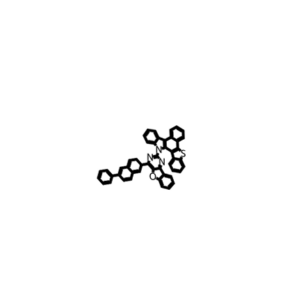 C1=c2ccc(-c3ccccc3)cc2=CCC1c1nc(-n2c3ccccc3c3c4ccccc4c4sc5ccccc5c4c32)nc2c1oc1ccccc12